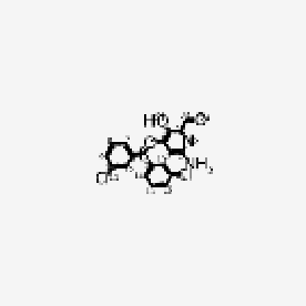 Nc1cc(OB(c2cccc(Cl)c2)c2cccc(Cl)c2)c(O)c(C=O)n1